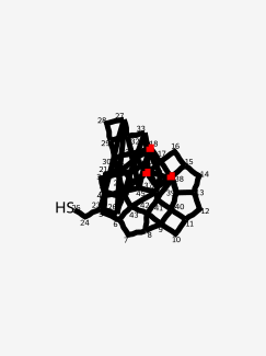 CC12C34CC5CC6CC7C89CC%10CC%11CC%12CC%13%14CC%15C%16CC%17C%18(CS)C%19C%18%20CC%18C3C13C%18%20C1%18C%17%19C%16%17C%15%13C%13%15C%12%14C%11%12C%108C8%10C79C67C54C24C31C(C%17%18%13)(C748)C%12%15%10